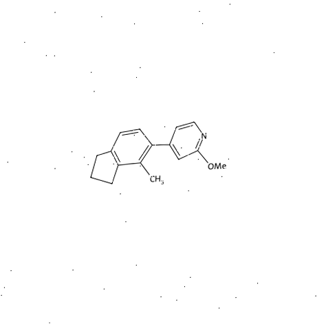 COc1cc(-c2ccc3c(c2C)CCC3)ccn1